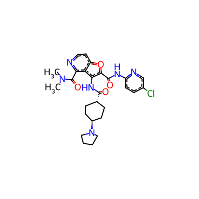 CN(C)C(=O)c1nccc2oc(C(=O)Nc3ccc(Cl)cn3)c(NC(=O)[C@H]3CC[C@H](N4CCCC4)CC3)c12